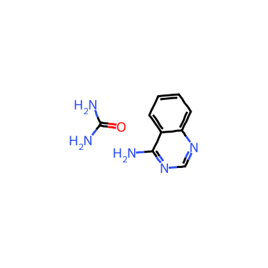 NC(N)=O.Nc1ncnc2ccccc12